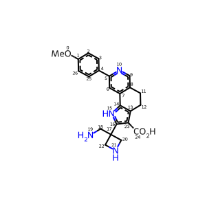 COc1ccc(-c2cc3c(cn2)CCc2c-3[nH]c(C3(CN)CNC3)c2C(=O)O)cc1